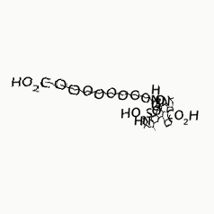 CC1CC(C)(C)Nc2c1cc1c(c2S(=O)(=O)O)Oc2c(S(=O)(=O)NCCOCCOCCOCCOCCOCCOCCOCCOCCC(=O)O)c3c(cc2=C1c1ccccc1C(=O)O)C(C)CC(C)(C)N=3